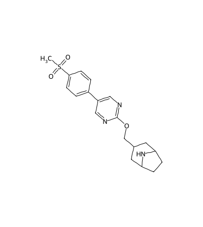 CS(=O)(=O)c1ccc(-c2cnc(OCC3CC4CCC(C3)N4)nc2)cc1